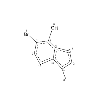 Cc1csc2c(O)c(Br)ccc12